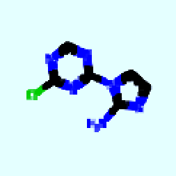 Nc1nccn1-c1ncnc(Cl)n1